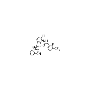 N#Cc1ccccc1S(=O)(=O)N1CCc2c(ccc(Cl)c2NC(=O)Cc2cccc(C(F)(F)F)c2F)C1